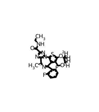 [2H]C1([2H])OCc2c(sc3c2C(c2c(F)cccc2F)=N[C@@H](C)c2nc(C(=O)NCC)nn2-3)OC1([2H])[2H]